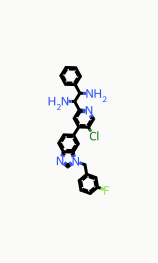 NC(c1ccccc1)C(N)c1cc(-c2ccc3ncn(Cc4cccc(F)c4)c3c2)c(Cl)cn1